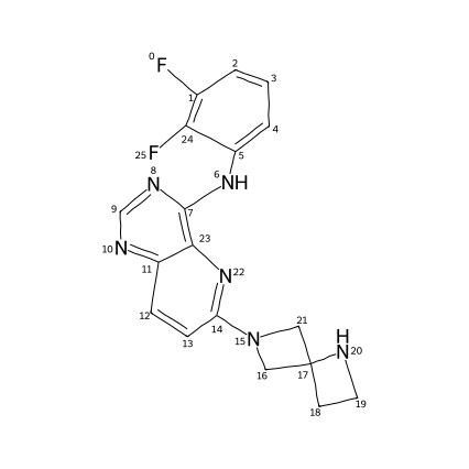 Fc1cccc(Nc2ncnc3ccc(N4CC5(CCN5)C4)nc23)c1F